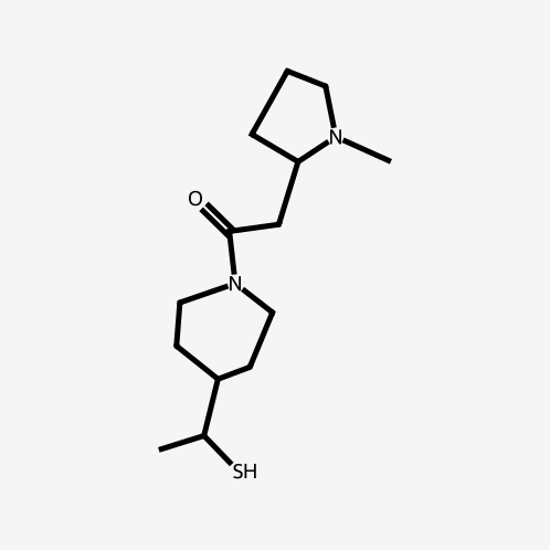 CC(S)C1CCN(C(=O)CC2CCCN2C)CC1